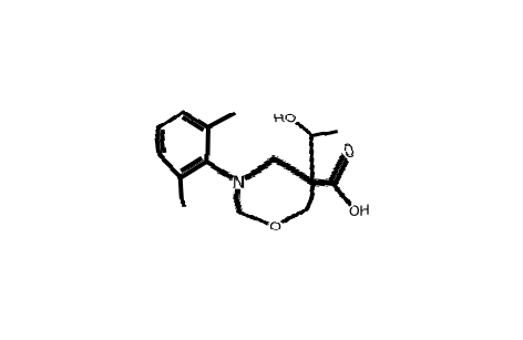 Cc1cccc(C)c1N1COCC(C(=O)O)(C(C)O)C1